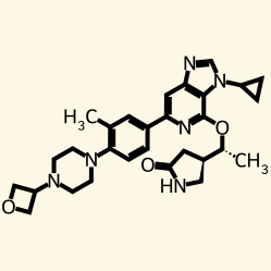 Cc1cc(-c2cc3ncn(C4CC4)c3c(O[C@H](C)[C@H]3CNC(=O)C3)n2)ccc1N1CCN(C2COC2)CC1